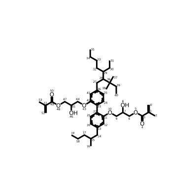 C=C(C)C(=O)OCC(O)COc1cc(CC(C)CCC)ccc1-c1ccc(CC(C(CC)CCCC)C(C)(C)CC)cc1OCC(O)COC(=O)C(=C)C